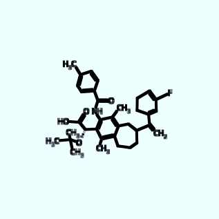 C=C(C1=CC(F)=CCC1)C1CCCc2c(C)c([C@H](OC(C)(C)C)C(=O)O)c(NC(=O)c3ccc(C)cc3)c(C)c2C1